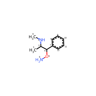 CNC(C)C(ON)c1ccccc1